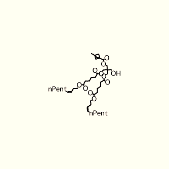 CCCCC/C=C\CCOC(=O)CCCCC(=O)OCC(CO)(COC(=O)CCCCC(=O)OCC/C=C\CCCCC)COC(=O)C12CC(C)(C1)C2